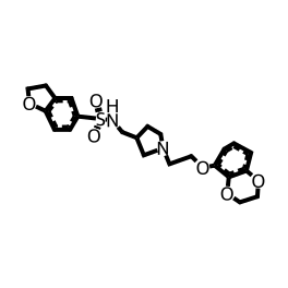 O=S(=O)(NCC1CCN(CCOc2cccc3c2OCCO3)C1)c1ccc2c(c1)CCO2